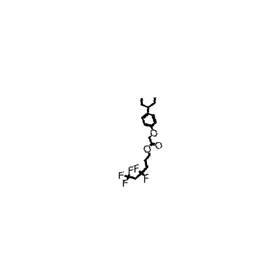 CCC(CC)c1ccc(OCC(=O)OCCCC(F)(F)CC(F)(F)F)cc1